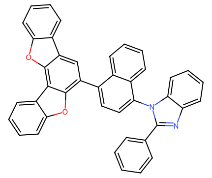 c1ccc(-c2nc3ccccc3n2-c2ccc(-c3cc4c5ccccc5oc4c4c3oc3ccccc34)c3ccccc23)cc1